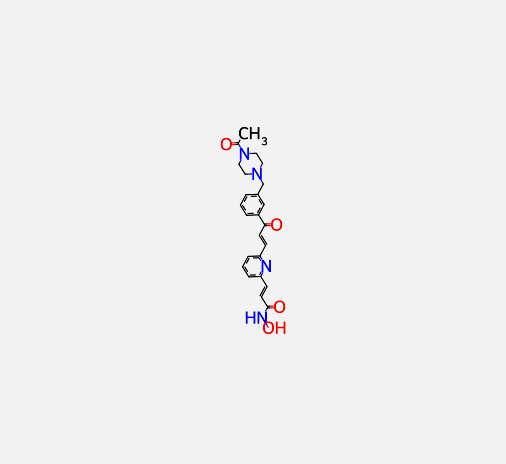 CC(=O)N1CCN(Cc2cccc(C(=O)C=Cc3cccc(C=CC(=O)NO)n3)c2)CC1